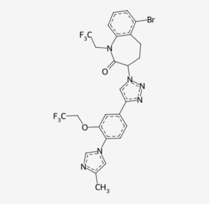 Cc1cn(-c2ccc(-c3cn(C4CCc5c(Br)cccc5N(CC(F)(F)F)C4=O)nn3)cc2OCC(F)(F)F)cn1